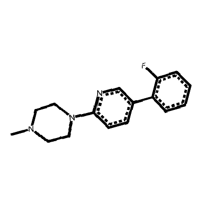 CN1CCN(c2ccc(-c3ccccc3F)cn2)CC1